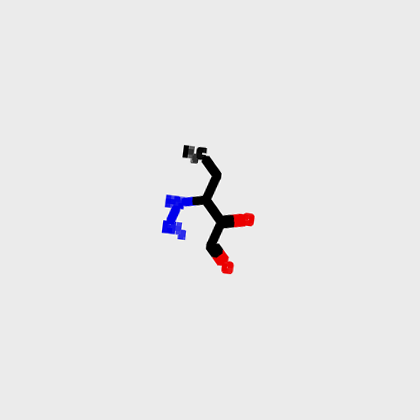 CCC(NN)C(=O)C=O